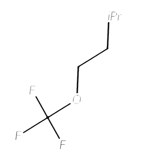 CC(C)CCOC(F)(F)F